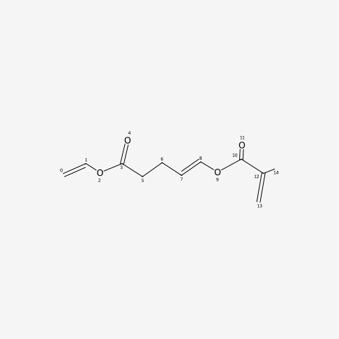 C=COC(=O)CCC=COC(=O)C(=C)C